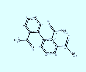 NC(=O)c1ccccc1-c1cccc(C(N)=O)c1C(N)=O